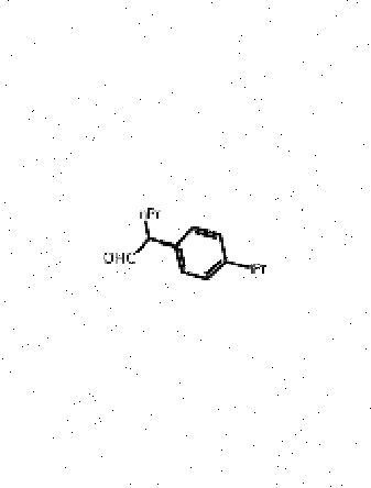 CCCC(C=O)c1ccc(C(C)C)cc1